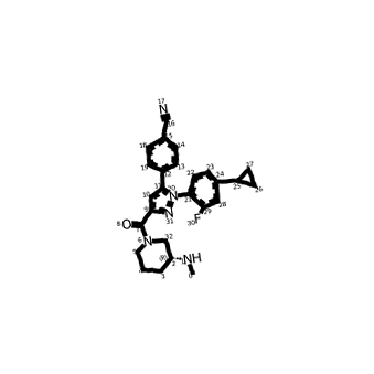 CN[C@@H]1CCCN(C(=O)c2cc(-c3ccc(C#N)cc3)n(-c3ccc(C4CC4)cc3F)n2)C1